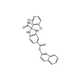 NC(=O)C1(c2c(Cl)cccc2Cl)Nc2ccc(C(=O)Oc3ccc4ccccc4n3)cc2N1